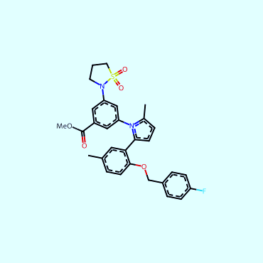 COC(=O)c1cc(N2CCCS2(=O)=O)cc(-n2c(C)ccc2-c2cc(C)ccc2OCc2ccc(F)cc2)c1